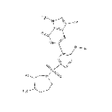 CCCc1nn(C)c2c(=O)[nH]c(-c3cc(S(=O)(=O)N4CCCN(C)C(C(C)=O)C4)ccc3OCC)nc12